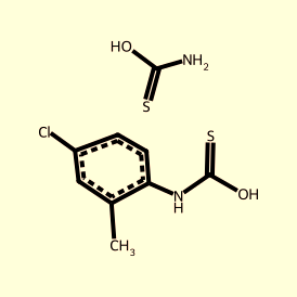 Cc1cc(Cl)ccc1NC(O)=S.NC(O)=S